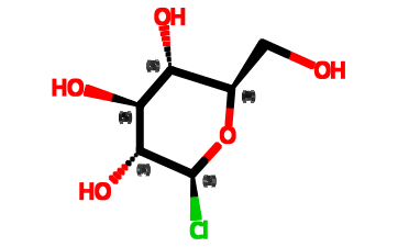 OC[C@H]1O[C@@H](Cl)[C@H](O)[C@@H](O)[C@@H]1O